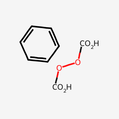 O=C(O)OOC(=O)O.c1ccccc1